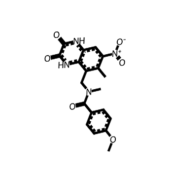 COc1ccc(C(=O)N(C)Cc2c(C)c([N+](=O)[O-])cc3[nH]c(=O)c(=O)[nH]c23)cc1